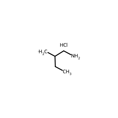 Cl.[CH2]C(CC)CN